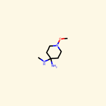 CNC1(N)CCN(OC)CC1